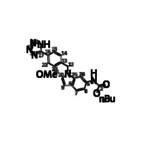 CCCCOC(=O)Nc1ccc2ccn(Cc3ccc(-c4nnn[nH]4)cc3OC)c2c1